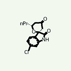 CCC[C@@H]1CC(=O)C[C@]2(O1)C(=O)Nc1cc(Cl)ccc12